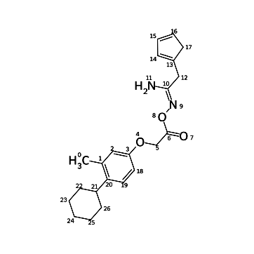 Cc1cc(OCC(=O)O/N=C(\N)CC2=CC=CC2)ccc1C1CCCCC1